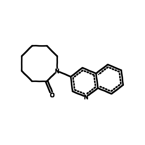 O=C1CCCCCCN1c1cnc2ccccc2c1